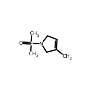 CC1=CCN(P(C)(C)=O)C1